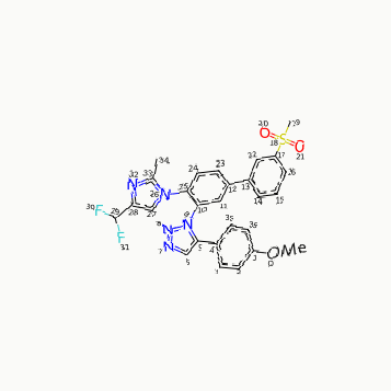 COc1ccc(-c2cnnn2-c2cc(-c3cccc(S(C)(=O)=O)c3)ccc2-n2cc(C(F)F)nc2C)cc1